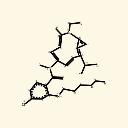 C=C(c1ccc(Cl)cc1NCCCCCC)N(C)C1=C/C=C(\C)N(CC)C2=CC/2=C(C(C)C)\C=C\1